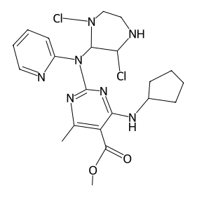 COC(=O)c1c(C)nc(N(c2ccccn2)C2C(Cl)NCCN2Cl)nc1NC1CCCC1